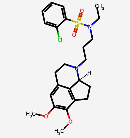 CCN(CCCN1CCc2cc(OC)c(OC)c3c2[C@@H]1CC3)S(=O)(=O)c1ccccc1Cl